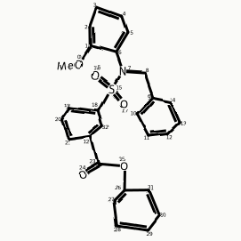 COc1ccccc1N(Cc1ccccc1)S(=O)(=O)c1cccc(C(=O)Oc2ccccc2)c1